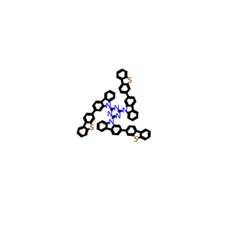 c1ccc2c(c1)sc1cc(-c3ccc4c5ccccc5n(-c5nc(-n6c7ccccc7c7ccc(-c8ccc9c(c8)sc8ccccc89)cc76)nc(-n6c7ccccc7c7ccc(-c8ccc9c(c8)sc8ccccc89)cc76)n5)c4c3)ccc12